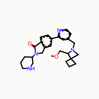 COCC1N(Cc2ccnc(-c3ccc4c(c3)CN(C3CCCNC3)C4=O)c2)CC12CCC2